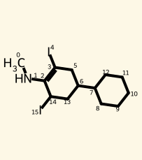 CNC1=C(I)CC(C2CCCCC2)CC1I